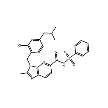 Cc1nc2ccc(C(=O)NS(=O)(=O)c3ccccc3)nc2n1Cc1ccc(CC(C)C)cc1Cl